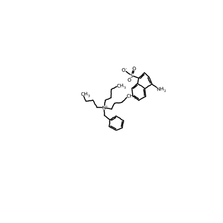 CCCC[N+](CCCC)(CCCC)Cc1ccccc1.Nc1ccc(S(=O)(=O)[O-])c2ccccc12